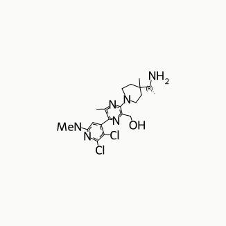 CNc1cc(-c2nc(CO)c(N3CCC(C)([C@@H](C)N)CC3)nc2C)c(Cl)c(Cl)n1